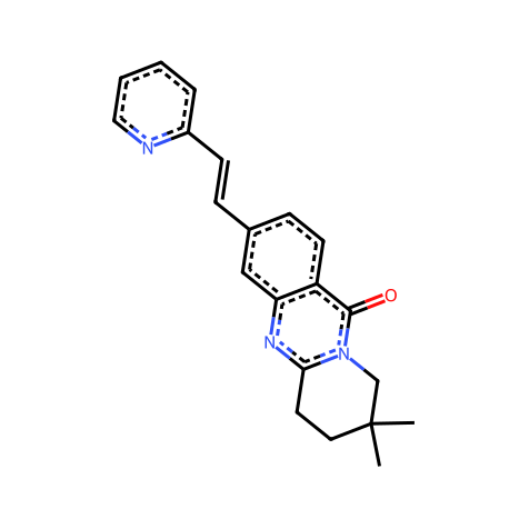 CC1(C)CCc2nc3cc(C=Cc4ccccn4)ccc3c(=O)n2C1